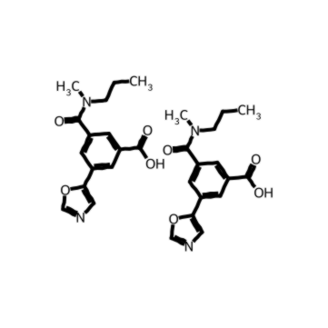 CCCN(C)C(=O)c1cc(C(=O)O)cc(-c2cnco2)c1.CCCN(C)C(=O)c1cc(C(=O)O)cc(-c2cnco2)c1